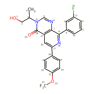 CC(CO)n1cnc2c(-c3cccc(F)c3)nc(-c3ccc(OC(F)(F)F)cc3)cc2c1=O